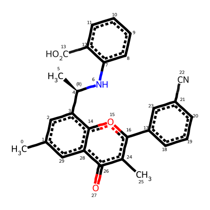 Cc1cc([C@@H](C)Nc2ccccc2C(=O)O)c2oc(-c3cccc(C#N)c3)c(C)c(=O)c2c1